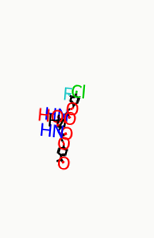 CC(=O)c1ccc(OCC(=O)NC23CCC(NC(=O)COc4ccc(Cl)c(F)c4)(CC2)[C@@H](O)C3)cc1